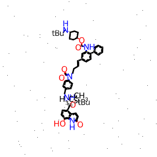 CC(C)(C)N[C@H]1CC[C@H](OC(=O)Nc2cc(C=CCCn3c(=O)oc4cc(CNC[C@H](O[Si](C)(C)C(C)(C)C)c5ccc(O)c6[nH]c(=O)ccc56)ccc43)ccc2-c2ccccc2)CC1